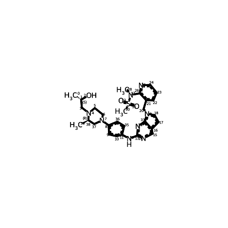 C[C@H](O)CN1CCN(c2ccc(Nc3ncc4ccn(Cc5cccnc5N(C)S(C)(=O)=O)c4n3)cc2)C[C@H]1C